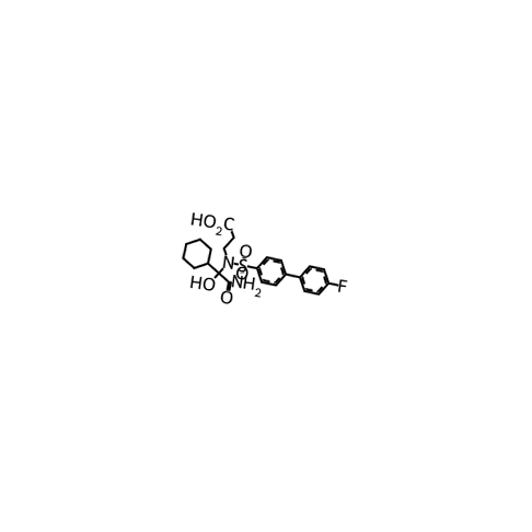 NC(=O)C(O)(C1CCCCC1)N(CCC(=O)O)S(=O)(=O)c1ccc(-c2ccc(F)cc2)cc1